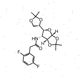 CC1(C)O[C@H]2O[C@H]([C@H]3COC(C)(C)O3)[C@@H](NC(=O)Cc3cc(F)ccc3F)[C@H]2O1